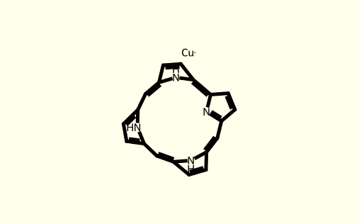 C1=Cc2nc1cc1ccc(cc3ccc(cc4ccc2[nH]4)[nH]3)[nH]1.[Cu]